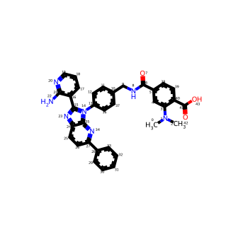 CN(C)c1cc(C(=O)NCc2ccc(-n3c(-c4cccnc4N)nc4ccc(-c5ccccc5)nc43)cc2)ccc1C(=O)O